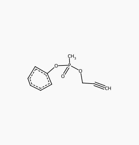 C#CCOP(C)(=O)Oc1ccccc1